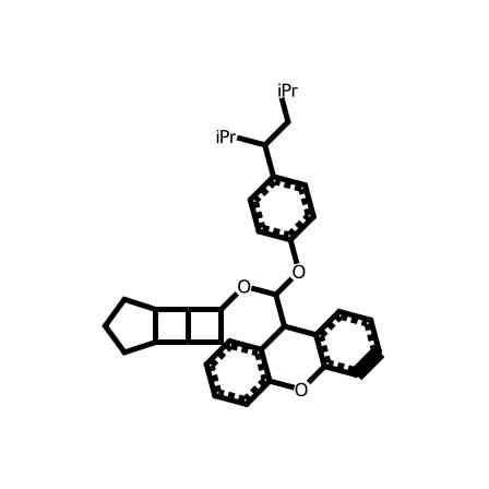 CC(C)CC(c1ccc(OC(OC2CC3C4CCCC4C23)C2c3ccc#cc3Oc3ccccc32)cc1)C(C)C